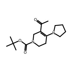 CC(=O)C1=C(N2CCCC2)CCN(C(=O)OC(C)(C)C)C1